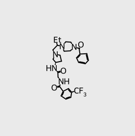 CCC(CN1CC[C@@H](NC(=O)CNC(=O)c2cccc(C(F)(F)F)c2)C1)N1CCN(C(=O)c2ccccc2)CC1